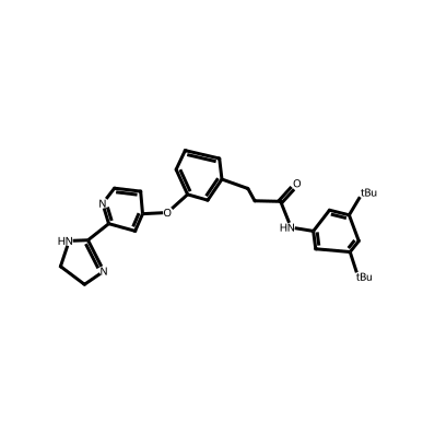 CC(C)(C)c1cc(NC(=O)CCc2cccc(Oc3ccnc(C4=NCCN4)c3)c2)cc(C(C)(C)C)c1